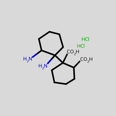 Cl.Cl.NC1CCCCC1(N)C1(C(=O)O)CCCCC1C(=O)O